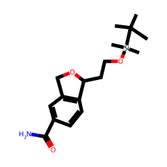 CC(C)(C)[Si](C)(C)OCCC1OCc2cc(C(N)=O)ccc21